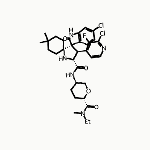 CCN(C)C(=O)[C@@H]1CC[C@@H](NC(=O)[C@@H]2NC3(CCC(C)(C)CC3)[C@@]3(C(=O)Nc4cc(Cl)ccc43)[C@H]2c2ccnc(Cl)c2F)CO1